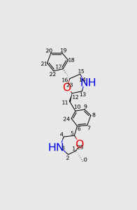 C[C@@H]1CNCC(c2cccc(C[C@@H]3CNC[C@@H](c4ccccc4)O3)c2)O1